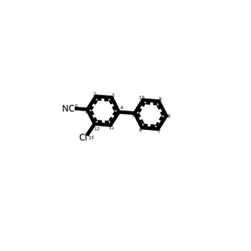 N#Cc1ccc(-c2cc[c]cc2)cc1Cl